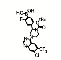 CC(C)(C)OC(=O)N1CCN(c2ncnc3cc(Cl)c(C(F)(F)F)cc23)CC1c1ccc(B(O)O)c(F)c1